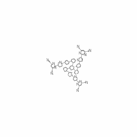 N#Cc1cc(C#N)nc(-c2ccc(-c3ccc(-c4ccccc4-c4cc(-c5ccccc5-c5ccc(-c6ccc(-c7nc(C#N)cc(C#N)n7)cn6)cc5)cc(-c5ccccc5-c5ccc(-c6ccc(-c7nc(C#N)cc(C#N)n7)cn6)cc5)c4)cc3)nc2)n1